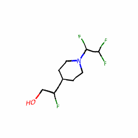 OCC(F)C1CCN(C(F)C(F)F)CC1